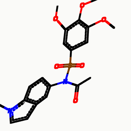 COc1cc(S(=O)(=O)N(C(C)=O)c2ccc3c(ccn3C)c2)cc(OC)c1OC